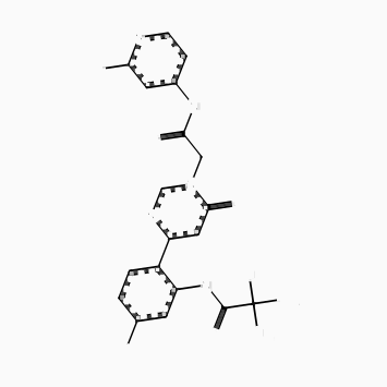 CC(C)(C)C(=O)Nc1cc(Cl)ccc1-c1cc(=O)n(CC(=O)Nc2ccnc(O)c2)cn1